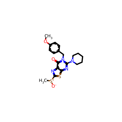 COc1ccc(Cn2c(N3CCCCC3)nc3sc([S+](C)[O-])nc3c2=O)cc1